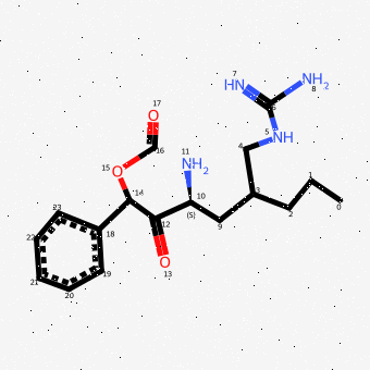 CCCC(CNC(=N)N)C[C@H](N)C(=O)C(O[C]=O)c1ccccc1